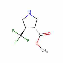 COC(=O)[C@H]1CNC[C@@H]1C(F)(F)F